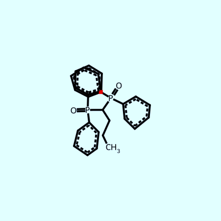 CCCC(P(=O)(c1ccccc1)c1ccccc1)P(=O)(c1ccccc1)c1ccccc1